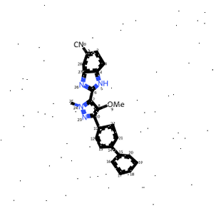 [C-]#[N+]c1ccc2[nH]c(-c3c(OC)c(-c4ccc(-c5ccccc5)cc4)nn3C)nc2c1